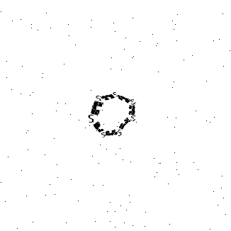 s1ssssss1